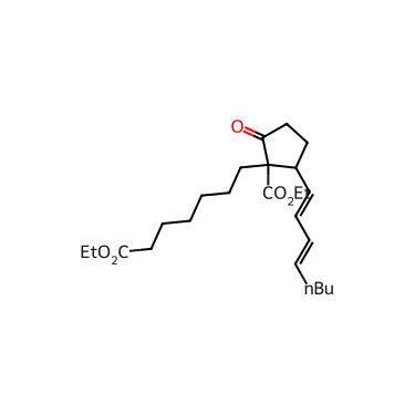 CCCCC=CC=CC1CCC(=O)C1(CCCCCCC(=O)OCC)C(=O)OCC